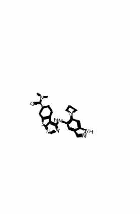 CN(C)C(=O)[C@H]1CCc2c(sc3ncnc(Nc4cc5cn[nH]c5cc4N4CCC4)c23)C1